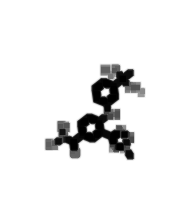 CCN(CC)C(=O)c1ccc(Nc2cccc(C(C)(P)P)c2)c(-c2nnn(C)n2)c1